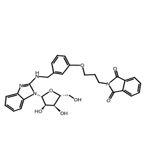 O=C1c2ccccc2C(=O)N1CCCOc1cccc(CNc2nc3ccccc3n2[C@@H]2O[C@H](CO)[C@@H](O)[C@H]2O)c1